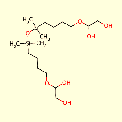 C[Si](C)(CCCCOC(O)CO)O[Si](C)(C)CCCCOC(O)CO